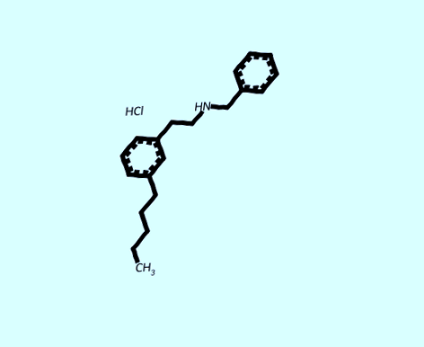 CCCCCc1cccc(CCNCc2ccccc2)c1.Cl